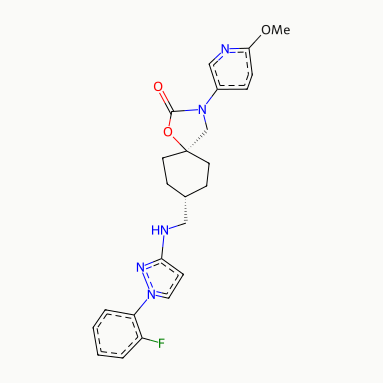 COc1ccc(N2C[C@]3(CC[C@@H](CNc4ccn(-c5ccccc5F)n4)CC3)OC2=O)cn1